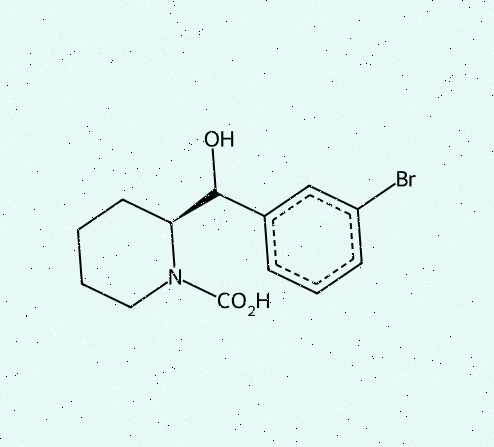 O=C(O)N1CCCC[C@H]1C(O)c1cccc(Br)c1